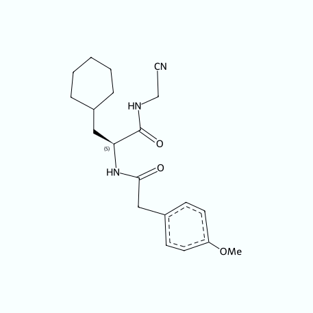 COc1ccc(CC(=O)N[C@@H](CC2CCCCC2)C(=O)NCC#N)cc1